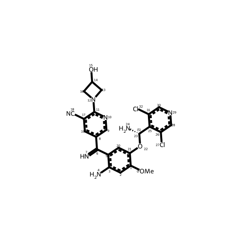 COc1cc(N)c(C(=N)c2cnc(N3CC(O)C3)c(C#N)c2)cc1O[C@H](N)c1c(Cl)cncc1Cl